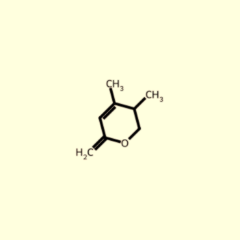 C=C1C=C(C)C(C)CO1